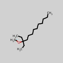 CCCCCCCCCCC(CC)(CC)O[SiH3]